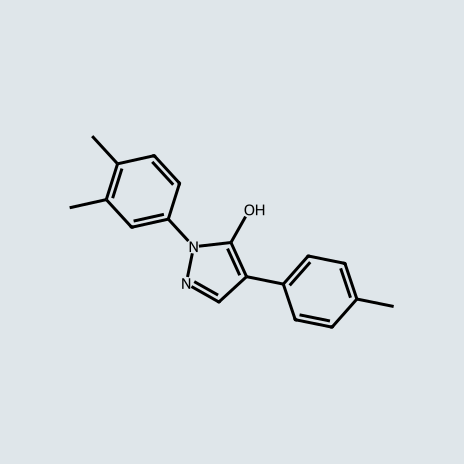 Cc1ccc(-c2cnn(-c3ccc(C)c(C)c3)c2O)cc1